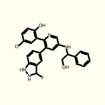 OCC(Nc1cnc(-c2cc(Cl)ccc2O)c(-c2ccc3c(c2)C(F)NN3)c1)c1ccccc1